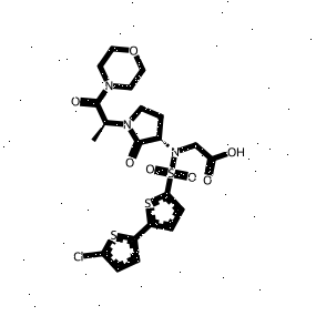 C[C@@H](C(=O)N1CCOCC1)N1CC[C@H](N(CC(=O)O)S(=O)(=O)c2ccc(-c3ccc(Cl)s3)s2)C1=O